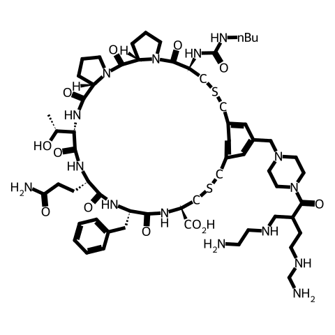 CCCCNC(=O)N[C@H]1CSCc2cc(cc(CN3CCN(C(=O)C(CCNCN)CNCCN)CC3)c2)CSC[C@@H](C(=O)O)NC(=O)[C@H](Cc2ccccc2)NC(=O)[C@H](CCC(N)=O)NC(=O)[C@H]([C@@H](C)O)NC(=O)[C@@H]2CCCN2C(=O)[C@@H]2CCCN2C1=O